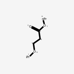 CCCOC(=O)CCOC(C)C